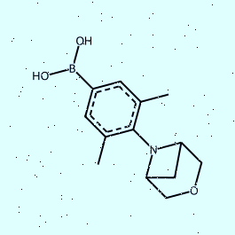 Cc1cc(B(O)O)cc(C)c1N1C2COCC1C2